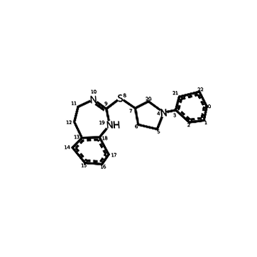 c1ccc(N2CCC(SC3=NCCc4ccccc4N3)C2)cc1